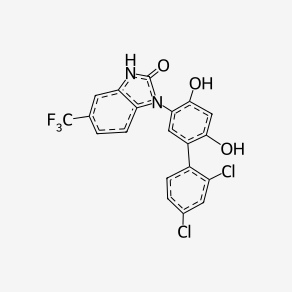 O=c1[nH]c2cc(C(F)(F)F)ccc2n1-c1cc(-c2ccc(Cl)cc2Cl)c(O)cc1O